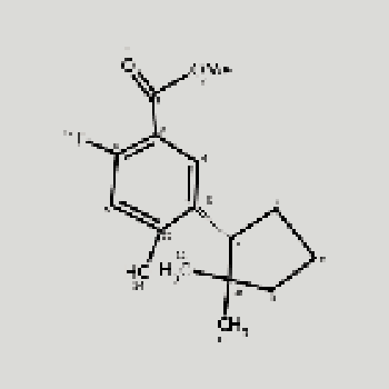 COC(=O)c1cc([C@@H]2CCCC2(C)C)c(O)cc1F